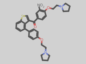 O=C(c1ccc(OCCN2CCCC2)c([N+](=O)[O-])c1)c1csc2cccc(-c3ccc(OCCN4CCCC4)cc3)c12